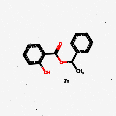 CC(OC(=O)c1ccccc1O)c1ccccc1.[Zn]